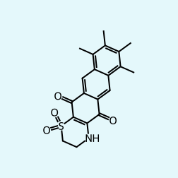 Cc1c(C)c(C)c2cc3c(cc2c1C)C(=O)C1=C(C3=O)S(=O)(=O)CCN1